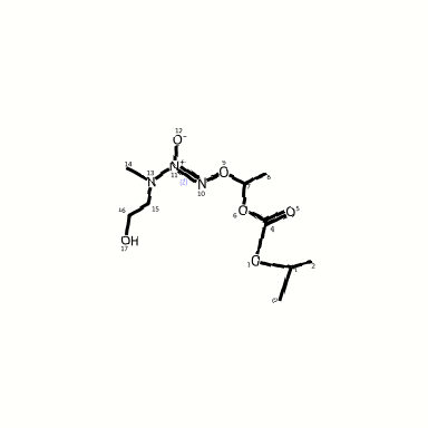 CC(C)OC(=O)OC(C)O/N=[N+](\[O-])N(C)CCO